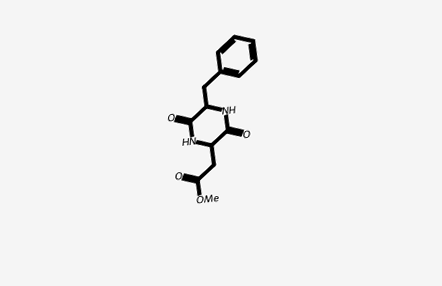 COC(=O)CC1NC(=O)C(Cc2ccccc2)NC1=O